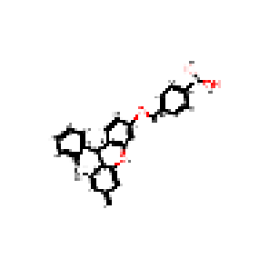 C=C1C=CC2C(=C1)Oc1cc(OCc3ccc(B(O)O)cc3)ccc1C2c1ccccc1C(=O)O